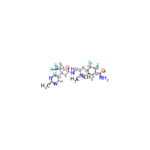 Cc1ncc(C(CC(=O)NCC(Cc2ccc(C(N)=O)c(F)c2F)N(C)C)C2(C(F)(F)F)CC2)cn1